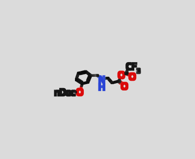 CCCCCCCCCCOc1cccc(CNCCC(=O)OC(=O)C(F)(F)F)c1